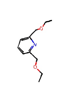 CCOCc1cccc(COCC)n1